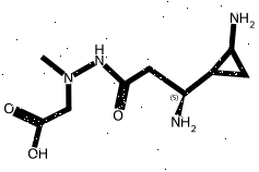 CN(CC(=O)O)NC(=O)C[C@H](N)C1CC1N